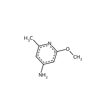 COc1cc(N)cc(C)n1